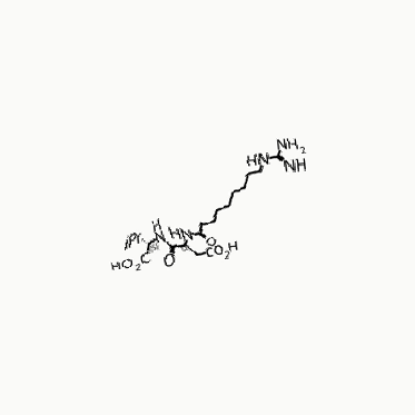 CC(C)[C@H](NC(=O)[C@H](CC(=O)O)NC(=O)CCCCCCCCNC(=N)N)C(=O)O